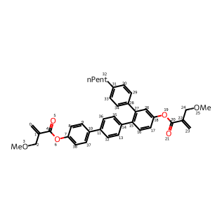 C=C(COC)C(=O)Oc1ccc(-c2ccc(-c3ccc(OC(=O)C(=C)COC)cc3-c3ccc(CCCCC)cc3)cc2)cc1